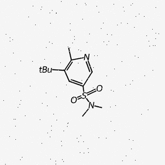 Cc1ncc(S(=O)(=O)N(C)C)cc1C(C)(C)C